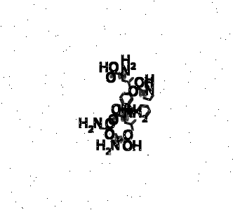 CC(C)C[C@H](N)C(=O)O.CC(C)C[C@H](N)C(=O)O.NCC(=O)OC[C@H](N)C(=O)O.O=C(O)[C@@H]1CCCN1.c1ccc(Nc2ccccc2)cc1